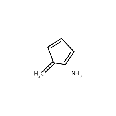 C=C1C=CC=C1.N